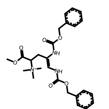 COC(=O)C(C/C(=C/NC(=O)OCc1ccccc1)NC(=O)OCc1ccccc1)[N+](C)(C)C